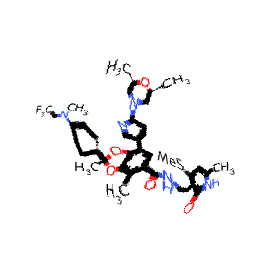 CSc1cc(C)[nH]c(=O)c1CNC(=O)c1cc(-c2ccc(N3C[C@@H](C)O[C@@H](C)C3)nc2)c2c(c1C)O[C@](C)([C@H]1CC[C@H](N(C)CC(F)(F)F)CC1)O2